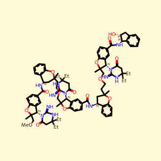 CCC1(CC)CC(=O)N([C@H]2c3cc(C(=O)N[C@H]4CC(C)(CCOCC5(C)Oc6ccc(C(=O)N[C@H]7CC(C)(CCOCC8(C)Oc9ccc(C(=O)N[C@@H]%10c%11ccccc%11C[C@H]%10O)cc9[C@@H]8N8C(=N)NC(CC)(CC)CC8=O)Oc8ccccc87)cc6[C@@H]5N5C(=N)NC(CC)(CC)CC5=O)Oc5ccccc54)ccc3OC2(C)COC)C(=N)N1